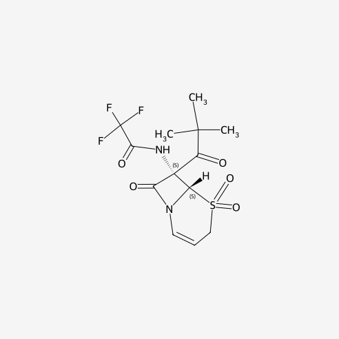 CC(C)(C)C(=O)[C@]1(NC(=O)C(F)(F)F)C(=O)N2C=CCS(=O)(=O)[C@H]21